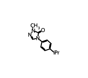 CC(C)c1ccc(-n2cnn(C)c2=O)cc1